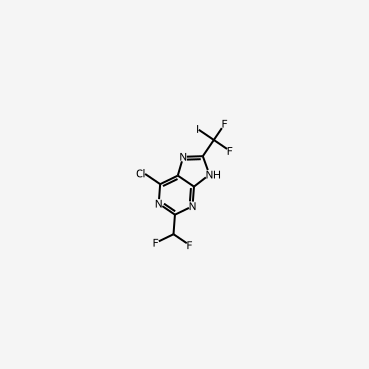 FC(F)c1nc(Cl)c2nc(C(F)(F)I)[nH]c2n1